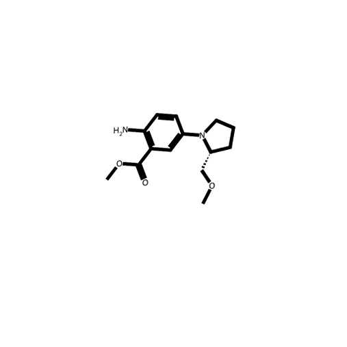 COC[C@H]1CCCN1c1ccc(N)c(C(=O)OC)c1